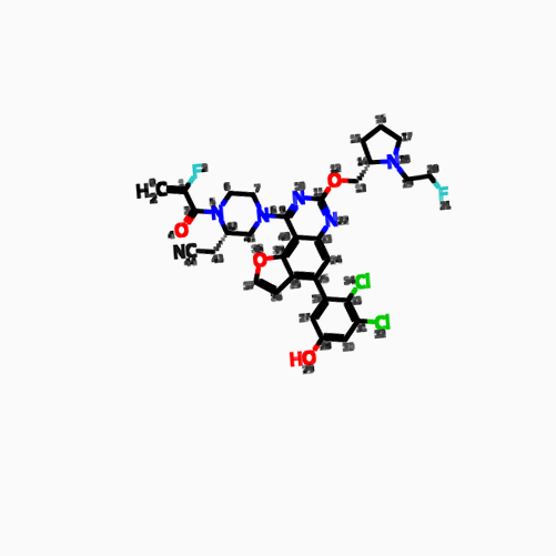 C=C(F)C(=O)N1CCN(c2nc(OC[C@@H]3CCCN3CCF)nc3cc(-c4cc(O)cc(Cl)c4Cl)c4ccoc4c23)C[C@@H]1CC#N